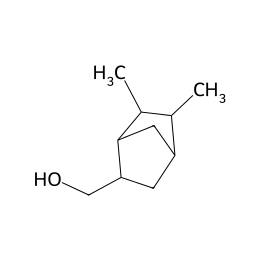 CC1C2CC(CO)C(C2)C1C